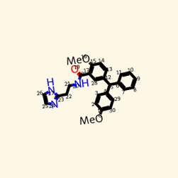 COc1ccc(C(c2ccccc2)c2ccc(OC)c(C(=O)NCCc3ncc[nH]3)c2)cc1